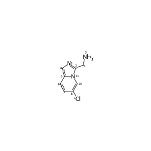 NCc1ncc2ccc(Cl)cn12